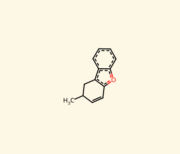 CC1C=Cc2oc3ccccc3c2C1